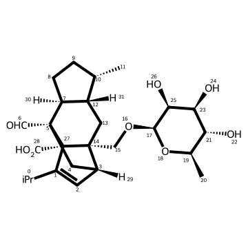 CC(C)C1=C[C@@H]2C[C@@]3(C=O)[C@H]4CC[C@H](C)[C@@H]4C[C@]2(CO[C@@H]2O[C@H](C)[C@@H](O)[C@H](O)[C@@H]2O)[C@@]13C(=O)O